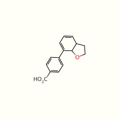 O=C(O)c1ccc(C2=CC=CC3CCOC23)cc1